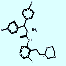 N[C@H](C(=O)Nc1cncc(F)c1CC[C@@H]1CNCCO1)C(c1ccc(F)cc1)c1ccc(F)cc1